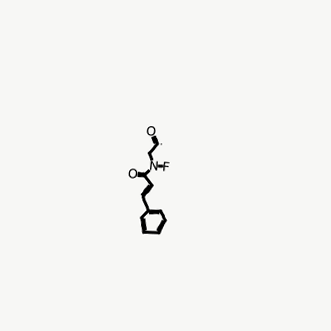 O=[C]CN(F)C(=O)/C=C/c1ccccc1